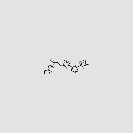 C=CC(=O)OOC(=O)CCc1nc(-c2cccc(-c3noc(C)n3)c2)no1